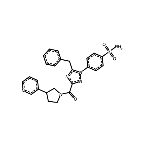 NS(=O)(=O)c1ccc(-n2nc(C(=O)N3CCC(c4cccnc4)C3)nc2Cc2ccccc2)cc1